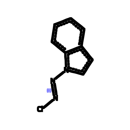 Cl/N=N/n1ccc2ccccc21